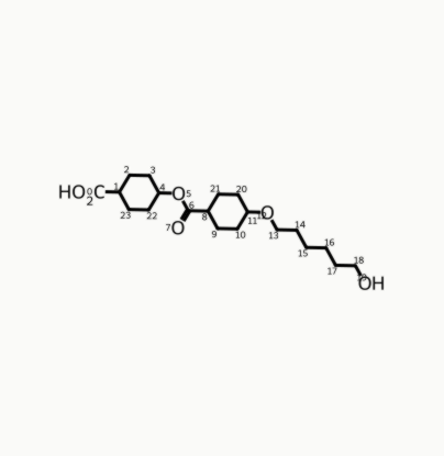 O=C(O)C1CCC(OC(=O)C2CCC(OCCCCCCO)CC2)CC1